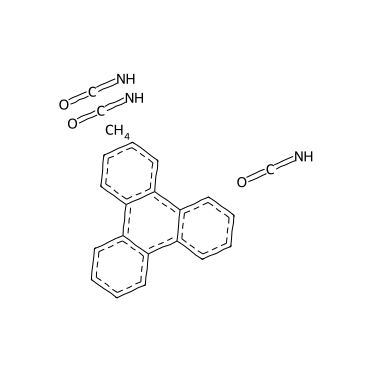 C.N=C=O.N=C=O.N=C=O.c1ccc2c(c1)c1ccccc1c1ccccc21